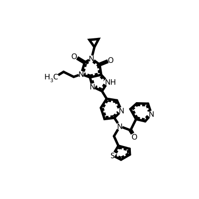 CCCn1c(=O)n(C2CC2)c(=O)c2[nH]c(-c3ccc(N(Cc4cccs4)C(=O)c4cccnc4)nc3)nc21